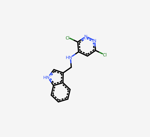 Clc1cc(NCc2c[nH]c3ccccc23)c(Cl)nn1